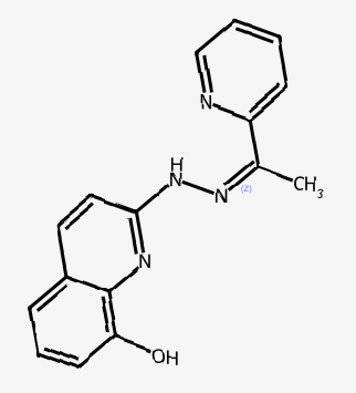 C/C(=N/Nc1ccc2cccc(O)c2n1)c1ccccn1